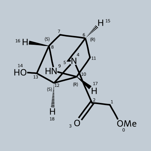 COCC(=O)N1C[C@H]2C[C@@H]3N[C@H](C2)[C@H]1C3O